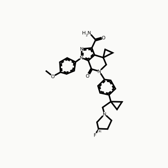 COc1ccc(-n2nc(C(N)=O)c3c2C(=O)N(c2ccc(C4(CN5CC[C@@H](F)C5)CC4)cc2)CC32CC2)cc1